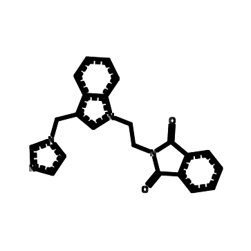 O=C1c2ccccc2C(=O)N1CCn1cc(Cn2ccnc2)c2ccccc21